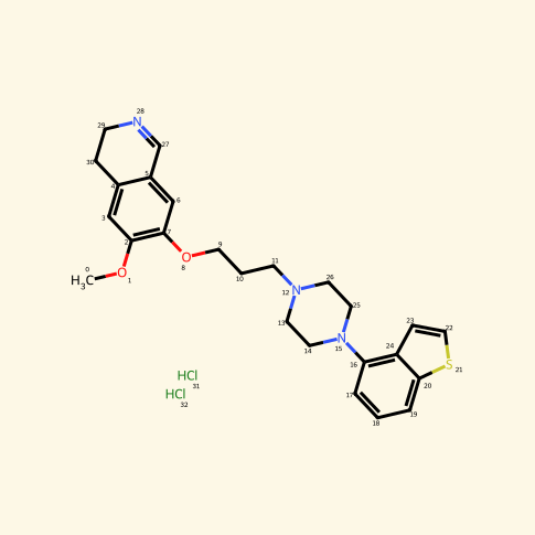 COc1cc2c(cc1OCCCN1CCN(c3cccc4sccc34)CC1)C=NCC2.Cl.Cl